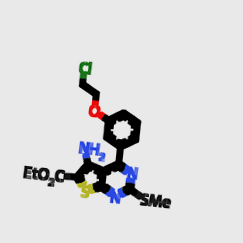 CCOC(=O)c1sc2nc(SC)nc(-c3cccc(OCCCl)c3)c2c1N